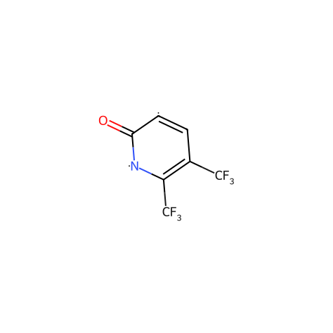 O=C1[C]=CC(C(F)(F)F)=C(C(F)(F)F)[N]1